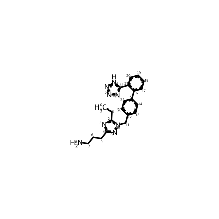 CCc1nc(CCCN)nn1Cc1ccc(-c2ccccc2-c2nnn[nH]2)cc1